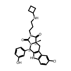 C[C@@]12Cc3c([nH]c4ccc(Cl)cc34)[C@@H](c3cccc(O)c3)N1C(=O)N(CCCNC1CCC1)C2=O